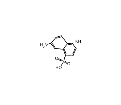 Nc1ccc2cccc(S(=O)(=O)O)c2c1.[KH]